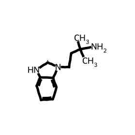 CC(C)(N)CCN1[CH]Nc2ccccc21